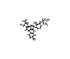 C[C@@H](Oc1cccc(-c2nc3c(OC4(C)CC4)ncnc3n2Cc2cccc(Cl)c2)c1Cl)C(=O)O